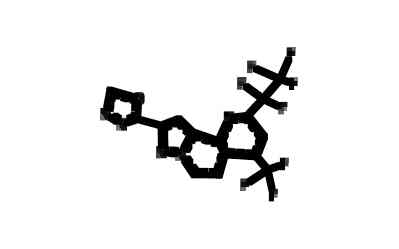 FC(F)(F)c1cc(C(F)(F)C(F)(F)F)nc2c1ccn1nc(-c3nnco3)cc21